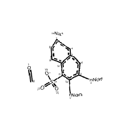 C=O.CCCCCCCCCc1cc2ccccc2c(S(=O)(=O)[O-])c1CCCCCCCCC.[Na+]